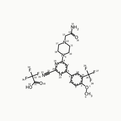 COc1ccc(-c2cc(N3CCN(CC(N)=O)CC3)nc(C#N)n2)cc1C(F)(F)F.O=C(O)C(F)(F)F